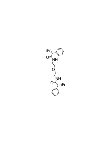 CC(C)[C@H](C(=O)NCCOCCNC(=O)[C@@H](c1ccccc1)C(C)C)c1ccccc1